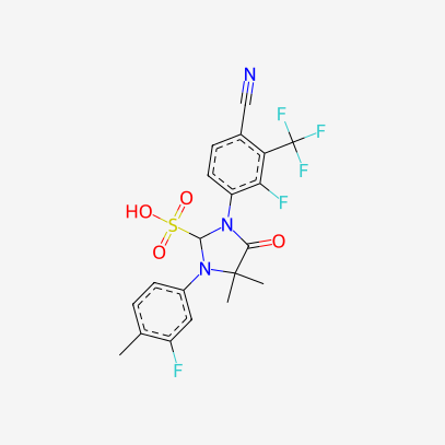 Cc1ccc(N2C(S(=O)(=O)O)N(c3ccc(C#N)c(C(F)(F)F)c3F)C(=O)C2(C)C)cc1F